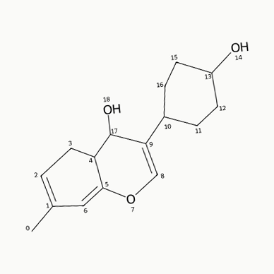 CC1=CCC2C(=C1)OC=C(C1CCC(O)CC1)C2O